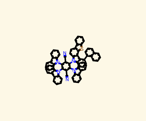 N#Cc1c(-n2c3ccccc3c3ccccc32)c(-n2c3ccccc3c3ccccc32)c(C#N)c(-n2c3cccc(-c4cccc5ccccc45)c3c3c4sc5ccccc5c4ccc32)c1-n1c2ccccc2c2ccccc21